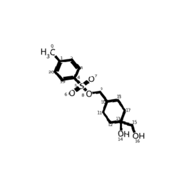 Cc1ccc(S(=O)(=O)OCC2CCC(O)(CO)CC2)cc1